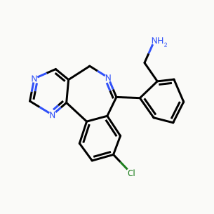 NCc1ccccc1C1=NCc2cncnc2-c2ccc(Cl)cc21